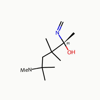 C=N[C@](C)(O)C(C)(C)CC(C)(C)NC